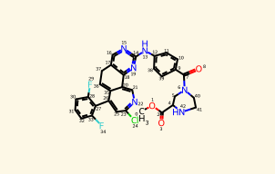 COC(=O)C1CN(C(=O)c2ccc(Nc3ncc4c(n3)C3=CN=C(Cl)C=C(c5c(F)cccc5F)C3=CC4)cc2)CCN1